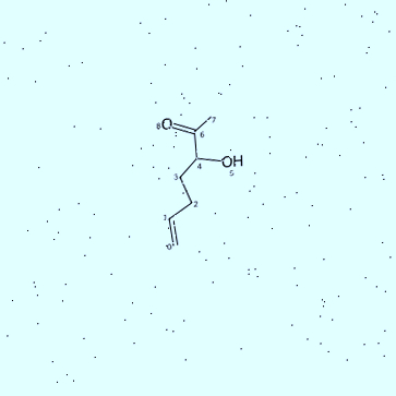 C=CCCC(O)C(C)=O